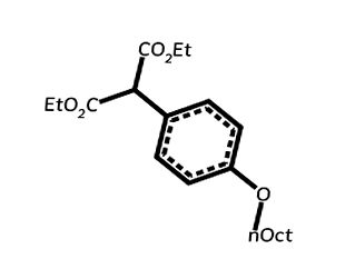 CCCCCCCCOc1ccc(C(C(=O)OCC)C(=O)OCC)cc1